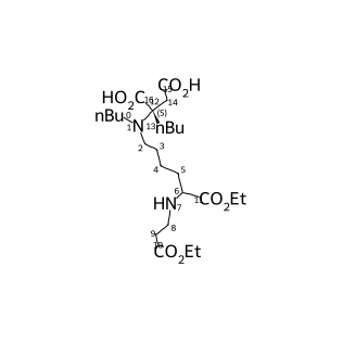 CCCCN(CCCCC(NCCC(=O)OCC)C(=O)OCC)[C@@](CCCC)(CC(=O)O)C(=O)O